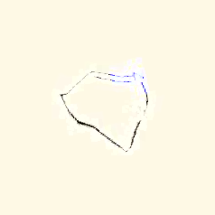 C1=N[13CH2]CCC1